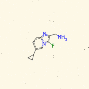 NCc1nc2ccc(C3CC3)cn2c1F